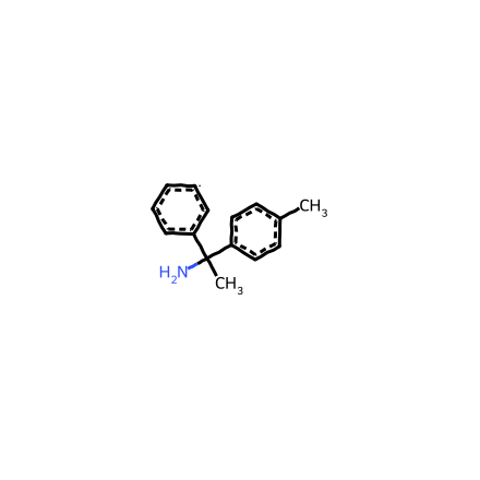 Cc1ccc(C(C)(N)c2c[c]ccc2)cc1